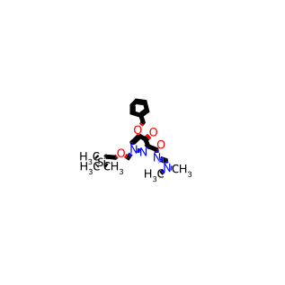 CN(C)/C=N/C(=O)c1nn(COCC[Si](C)(C)C)cc(OCc2ccccc2)c1=O